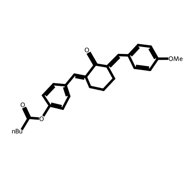 CCCCC(=O)Oc1ccc(C=C2CCCC(=Cc3ccc(OC)cc3)C2=O)cc1